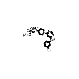 COP(=O)(CN(C)C1CCN(c2cc(Nc3cccc(Cl)c3)ncn2)CC1)OC